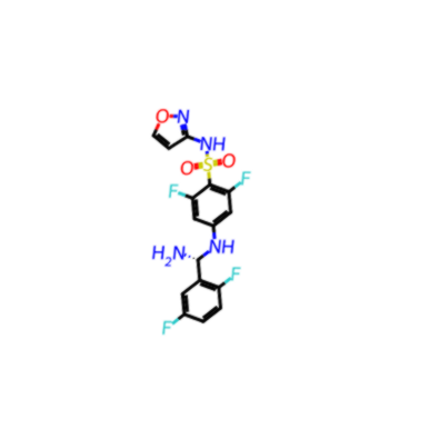 N[C@H](Nc1cc(F)c(S(=O)(=O)Nc2ccon2)c(F)c1)c1cc(F)ccc1F